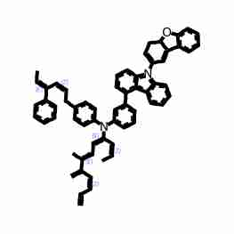 C=C/C=C\C(=C)/C(C)=C/C=C(\C=C/C)N(c1ccc(C/C=C\C(=C/C)c2ccccc2)cc1)c1cccc(-c2cccc3c2c2ccccc2n3C2=CCC3Oc4ccccc4C3=C2)c1